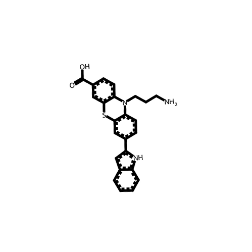 NCCCN1c2ccc(C(=O)O)cc2Sc2cc(-c3cc4ccccc4[nH]3)ccc21